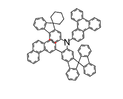 c1ccc2c(c1)-c1ccc(N(c3ccc4c5ccccc5c5ccccc5c4c3)c3cc4c(cc3-c3ccc5ccc6ccccc6c5c3)-c3ccccc3C43c4ccccc4-c4ccccc43)cc1C21CCCCC1